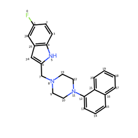 Fc1ccc2[nH]c(CN3CCN(c4cccc5ccccc45)CC3)cc2c1